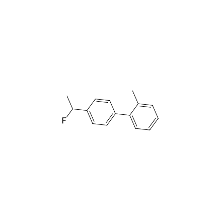 Cc1ccccc1-c1ccc(C(C)F)cc1